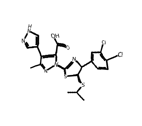 Cc1nn(C2=NC(c3ccc(Cl)c(Cl)c3)C(SC(C)C)S2)c(C(=O)O)c1-c1cn[nH]c1